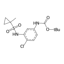 CC(C)(C)OC(=O)Nc1ccc(Cl)c(NS(=O)(=O)C2(C)CC2)c1